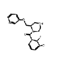 O=C(C1C=CC=C(Cl)C1F)N1CCNCC1COc1cccnc1